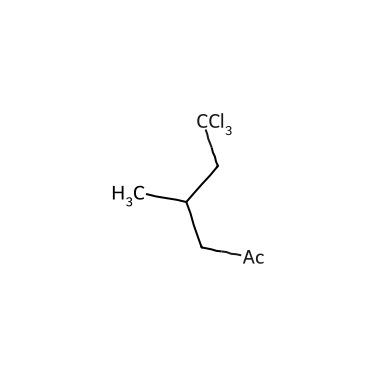 CC(=O)CC(C)CC(Cl)(Cl)Cl